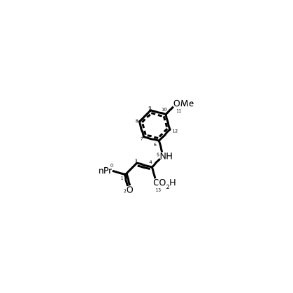 CCCC(=O)C=C(Nc1cccc(OC)c1)C(=O)O